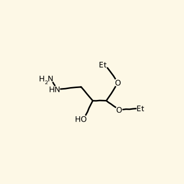 CCOC(OCC)C(O)CNN